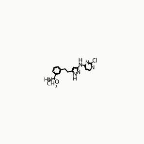 CNC(=O)c1cccc(CCc2cc(Nc3ccnc(Cl)n3)n[nH]2)c1